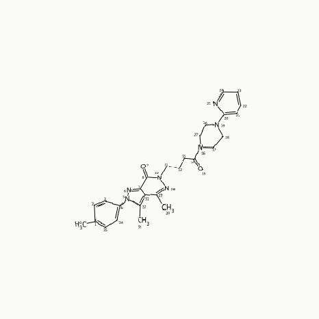 Cc1ccc(-n2nc3c(=O)n(CCCC(=O)N4CCN(c5ccccn5)CC4)nc(C)c3c2C)cc1